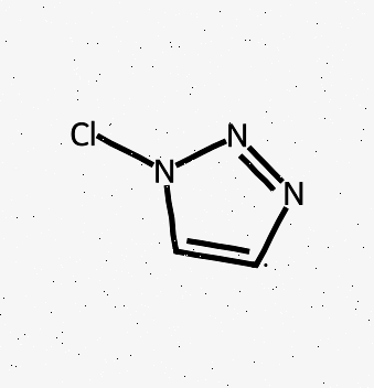 Cln1c[c]nn1